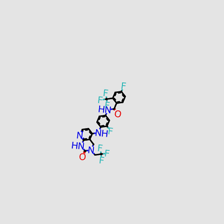 O=C(Nc1ccc(Nc2ccnc3c2CN(CC(F)(F)F)C(=O)N3)c(F)c1)c1ccc(F)cc1C(F)(F)F